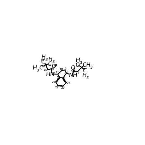 CC(C)(C)CC(=O)NC1CCC(NC(=O)CC(C)(C)C)c2ccccc21